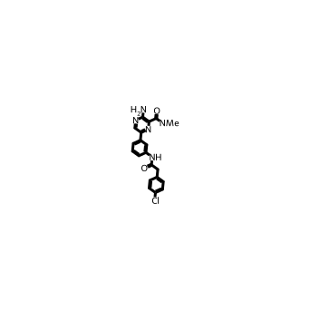 CNC(=O)c1nc(-c2cccc(NC(=O)Cc3ccc(Cl)cc3)c2)cnc1N